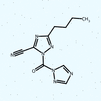 CCCCc1nc(C#N)n(C(=O)n2cncn2)n1